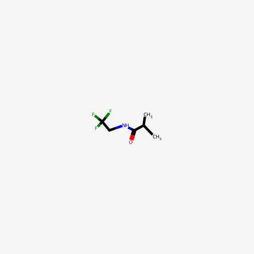 C[C](C)C(=O)NCC(F)(F)F